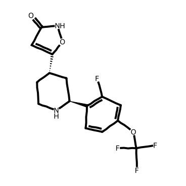 O=c1cc([C@H]2CCN[C@H](c3ccc(OC(F)(F)F)cc3F)C2)o[nH]1